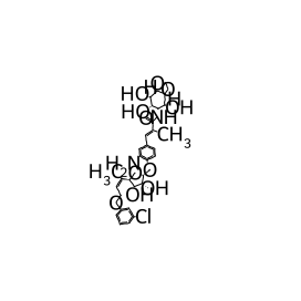 C/C(=C/COc1cccc(Cl)c1)[C@H]1O[C@@H](Oc2ccc(/C=C(\C)C(=O)N[C@@H]3[C@H](O)[C@@H](O)[C@H]4OCO[C@H]4[C@@H]3O)cc2N)[C@H](O)[C@@H]1O